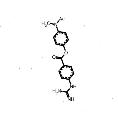 CC(=O)N(C)c1ccc(OC(=O)c2ccc(NC(=N)N)cc2)cc1